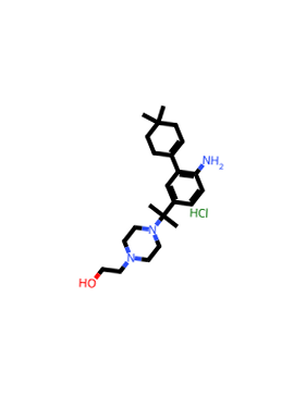 CC1(C)CC=C(c2cc(C(C)(C)N3CCN(CCO)CC3)ccc2N)CC1.Cl